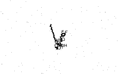 CCCCCCCCCCCCOC[C@@]12O[C@@H](CNC(=O)Cc3ccc(F)c(F)c3)[C@@H](O)[C@@H]1OC(C)(C)O2